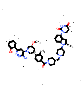 CO[C@@H]1C[C@H](c2ccc(C(=O)N3CCC(CN4CCC(n5c(C)cc6c(N7CCC(=O)NC7=O)cccc65)CC4)CC3)cc2C)CN(c2cc(-c3ccccc3O)nnc2N)C1